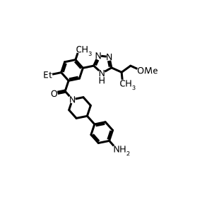 CCc1cc(C)c(-c2nnc(C(C)COC)[nH]2)cc1C(=O)N1CCC(c2ccc(N)cc2)CC1